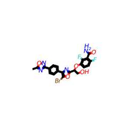 Cc1nc(-c2ccc(-c3nc(C(CO)Oc4ccc(F)c(C(N)=O)c4F)oc3Br)cc2)no1